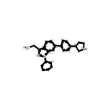 CCc1nn(-c2ccccc2)c2cc(-c3ccc(C4CCNC4)cc3)ccc12